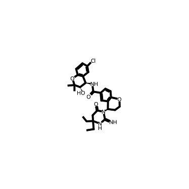 CCC1(CC)CC(=O)N([C@@H]2CCOc3ccc(C(=O)N[C@@H]4c5cc(Cl)ccc5OC(C)(C)[C@H]4O)cc32)C(=N)N1